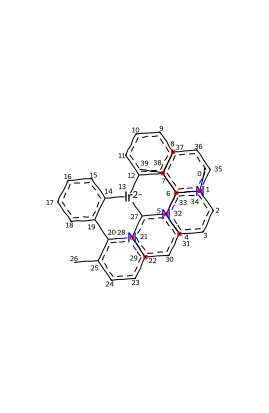 Cc1cccnc1-c1cccc[c]1[Ir-2]([c]1ccccc1-c1ncccc1C)[c]1ccccc1-c1ncccc1C